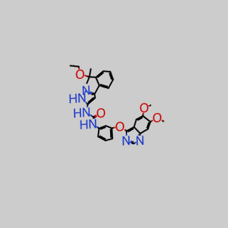 CCOC(C)(C)c1ccccc1-c1cc(NC(=O)Nc2cccc(Oc3ncnc4cc(OC)c(OC)cc34)c2)[nH]n1